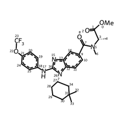 COC(=O)[C@H](C)N(C)C(=O)c1ccc2c(c1)nc(Nc1ccc(OC(F)(F)F)cc1)n2[C@H]1CCCC(C)(C)C1